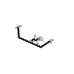 CC(CC(=O)OC(CCCCCCCC/C=C\CCCCCCCC(=O)O)CCCCCCCC/C=C\CCCCCCCC(=O)O)CC(C)CN(C)C